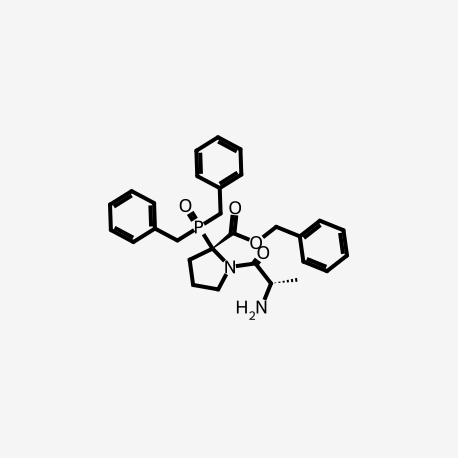 C[C@H](N)C(=O)N1CCC[C@]1(C(=O)OCc1ccccc1)P(=O)(Cc1ccccc1)Cc1ccccc1